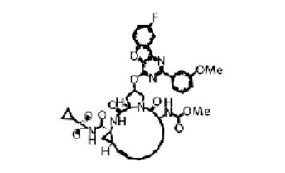 COC(=O)N[C@H]1CCCCC/C=C\[C@@H]2C[C@@]2(C(=O)NS(=O)(=O)C2CC2)NC(=O)[C@@H]2C[C@@H](Oc3nc(-c4cccc(OC)c4)nc4c3oc3ccc(F)cc34)CN2C1=O